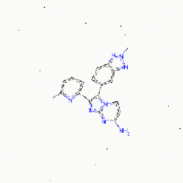 Cc1cccc(-c2nc3nc(N)ccn3c2-c2ccc3nn(C)nc3c2)n1